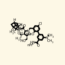 CCCNC(=O)c1cc(-c2cc(Cl)cc(CN3O[C@@H](CO)[C@@H]([C@H](C)O)[C@H]3C(=O)N[C@H]3C[C@H]4C[C@@H]([C@@H]3C)C4(C)C)c2OC)cc(N(C)C)c1